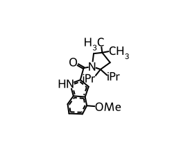 COc1cccc2[nH]c(C(=O)N3CC(C)(C)CC3(C(C)C)C(C)C)cc12